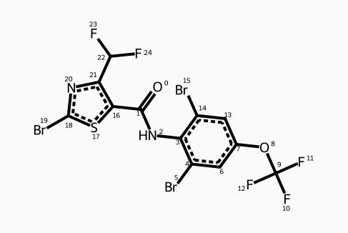 O=C(Nc1c(Br)cc(OC(F)(F)F)cc1Br)c1sc(Br)nc1C(F)F